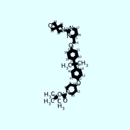 CC(C)(C)OC(=O)N1CCC(Oc2ccc(C(C)(C)c3ccc(OCc4ccnc(N5CC6(COC6)C5)n4)cc3)cc2)CC1